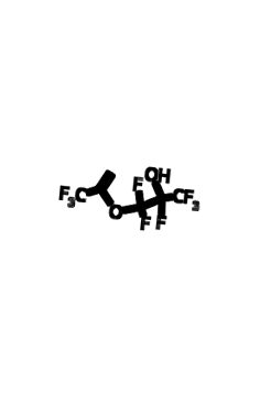 C=C(OC(F)(F)C(O)(F)C(F)(F)F)C(F)(F)F